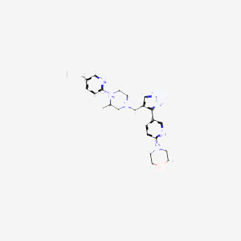 CC1CN(Cc2c[nH]nc2-c2ccc(N3CCOCC3)nc2)CCN1c1ccc(C(F)(F)F)cn1